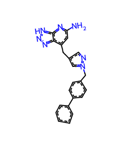 Nc1cc(Cc2cnn(Cc3ccc(-c4ccccc4)cc3)c2)c2nn[nH]c2n1